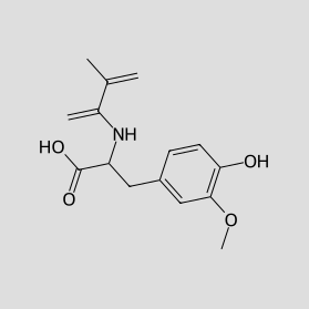 C=C(C)C(=C)NC(Cc1ccc(O)c(OC)c1)C(=O)O